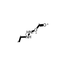 CCNNOC=O